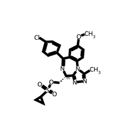 COc1ccc2c(c1)C(c1ccc(Cl)cc1)=N[C@@H](COS(=O)(=O)C1CC1)c1nnc(C)n1-2